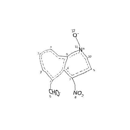 O=[C]c1cccc2c1c([N+](=O)[O-])cc[n+]2[O-]